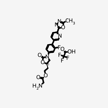 Cc1nnc(-c2ccc(-c3ccc(N4C[C@@H](CCOC(=O)CN)OC4=O)cc3F)cn2)o1.O=C(O)C(F)(F)F